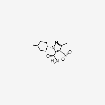 Cc1nn([C@H]2CC[C@H](C)CC2)c(C(N)=O)c1[N+](=O)[O-]